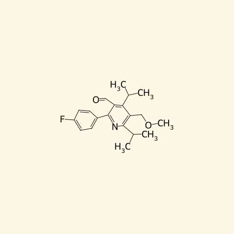 COCc1c(C(C)C)nc(-c2ccc(F)cc2)c(C=O)c1C(C)C